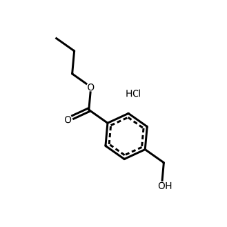 CCCOC(=O)c1ccc(CO)cc1.Cl